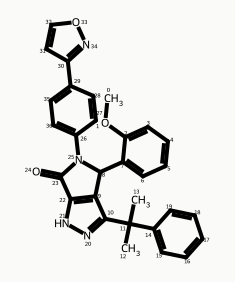 COc1ccccc1C1c2c(C(C)(C)c3ccccc3)n[nH]c2C(=O)N1c1ccc(-c2ccon2)cc1